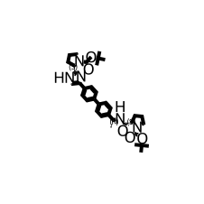 C[C@@H](NC(=O)[C@@H]1CCCN1C(=O)OC(C)(C)C)c1ccc(-c2ccc(-c3c[nH]c([C@@H]4CCCN4C(=O)OC(C)(C)C)n3)cc2)cc1